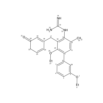 CCOc1cccc(-c2cc(C)c(NC(=N)N)c(CC3=CC(=O)CC=C3)c2OCC)c1